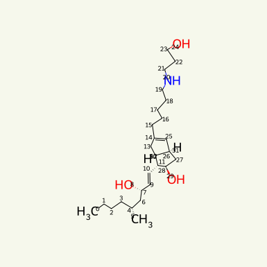 CCCC[C@@H](C)C[C@H](O)/C=C/[C@@H]1[C@H]2CC(CCCCCNCCCO)=C[C@H]2C[C@H]1O